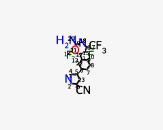 N#Cc1cncc(-c2ccc(F)c([C@]3(CF)C[C@@H](C(F)(F)F)N=C(N)O3)c2)c1